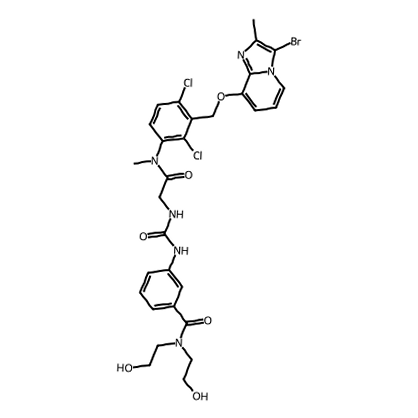 Cc1nc2c(OCc3c(Cl)ccc(N(C)C(=O)CNC(=O)Nc4cccc(C(=O)N(CCO)CCO)c4)c3Cl)cccn2c1Br